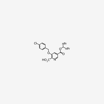 CCCC(CCC)OC(=O)c1cnc(C(=O)O)c(OCc2ccc(Cl)cc2)c1